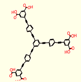 O=C(O)c1cc(C#Cc2ccc(C#Cc3cc(C#Cc4ccc(C#Cc5cc(C(=O)O)cc(C(=O)O)c5)cc4)cc(C#Cc4ccc(C#Cc5cc(C(=O)O)cc(C(=O)O)c5)cc4)c3)cc2)cc(C(=O)O)c1